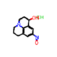 Cl.O=Nc1cc2c3c(c1)C(O)CCN3CCC2